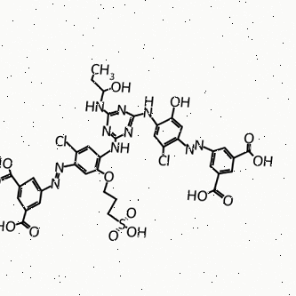 CCC(O)Nc1nc(Nc2cc(Cl)c(N=Nc3cc(C(=O)O)cc(C(=O)O)c3)cc2O)nc(Nc2cc(Cl)c(N=Nc3cc(C(=O)O)cc(C(=O)O)c3)cc2OCCCS(=O)(=O)O)n1